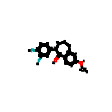 COc1ccc2c(c1)CCCC(c1ccc(F)c(F)c1)C2=O